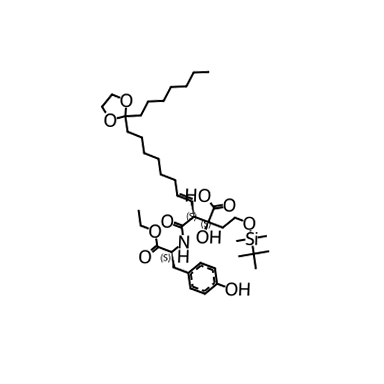 CCCCCCCC1(CCCCCCC=C[C@H](C(=O)N[C@@H](Cc2ccc(O)cc2)C(=O)OCC)[C@@](O)(CCO[Si](C)(C)C(C)(C)C)C(=O)O)OCCO1